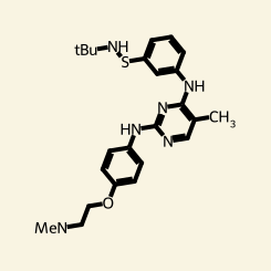 CNCCOc1ccc(Nc2ncc(C)c(Nc3cccc(SNC(C)(C)C)c3)n2)cc1